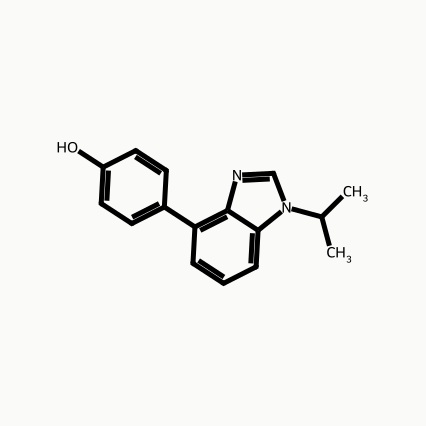 CC(C)n1cnc2c(-c3ccc(O)cc3)cccc21